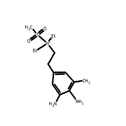 CC[N+](CC)(CCc1cc(C)c(N)c(N)c1)S(C)(=O)=O